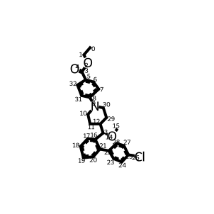 CCOC(=O)c1ccc(N2CCC([C@@H](OC)c3ccccc3-c3ccc(Cl)cc3)CC2)cc1